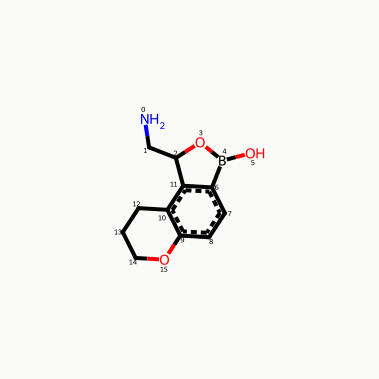 NCC1OB(O)c2ccc3c(c21)CCCO3